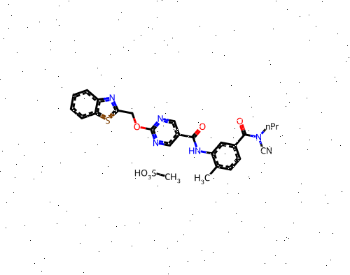 CCCN(C#N)C(=O)c1ccc(C)c(NC(=O)c2cnc(OCc3nc4ccccc4s3)nc2)c1.CS(=O)(=O)O